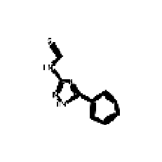 S=[C]Nc1n[nH]c(-c2ccccc2)n1